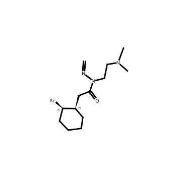 C=NN(CCN(C)C)C(=O)C[C@H]1CCCC[C@H]1C(C)=O